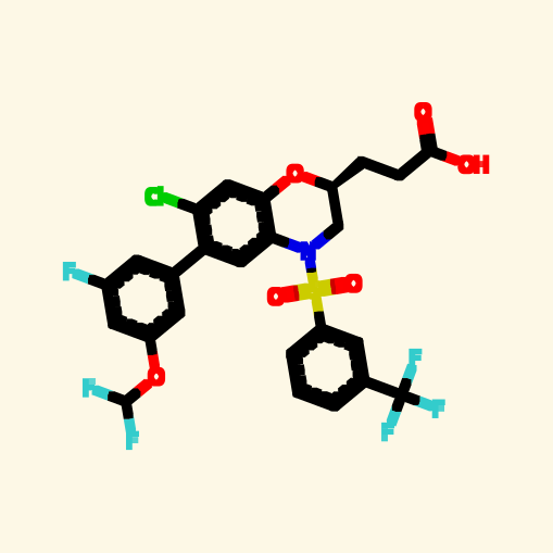 O=C(O)CC[C@H]1CN(S(=O)(=O)c2cccc(C(F)(F)F)c2)c2cc(-c3cc(F)cc(OC(F)F)c3)c(Cl)cc2O1